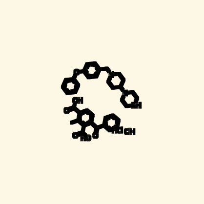 Cc1c(C(=O)O)ccc(C(=O)c2ccccc2)c1C(=O)O.Cl.Cl.c1ccc(Oc2ccc(CN3CCC(N4CCNCC4)CC3)cc2)cc1